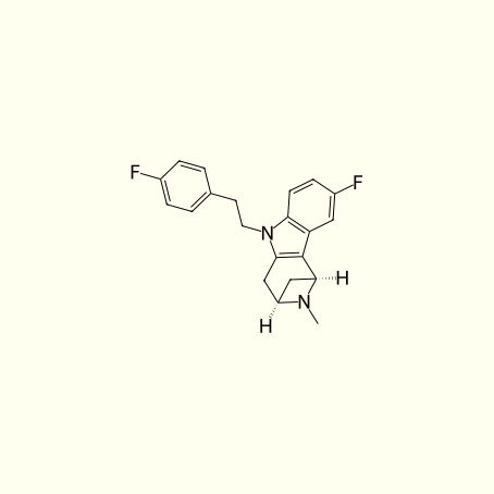 CN1[C@H]2Cc3c(c4cc(F)ccc4n3CCc3ccc(F)cc3)[C@@H]1C2